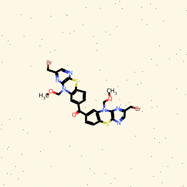 COCN1c2cc(C(=O)c3ccc4c(c3)N(COC)c3nc(CBr)cnc3S4)ccc2Sc2ncc(CBr)nc21